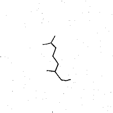 CC[C](C)CCCC(C)C